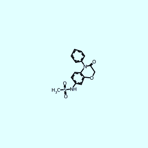 CS(=O)(=O)Nc1ccc2c(c1)OCC(=O)N2c1ccccc1